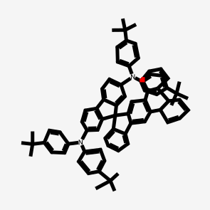 CC(C)(C)c1ccc(N(c2ccc(C(C)(C)C)cc2)c2ccc3c(c2)C2(c4ccccc4-c4cc5c(cc42)C2C=CC=CC2C2C=CC=CC52)c2cc(N(c4ccc(C(C)(C)C)cc4)c4ccc(C(C)(C)C)cc4)ccc2-3)cc1